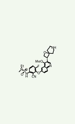 CCN(C)S(=O)(=O)Nc1ccc(F)c(Oc2ccc3ncc([C@H]4COC5(CCNCC5)C4)c(OC)c3c2)c1C#N